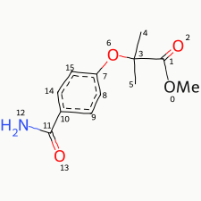 COC(=O)C(C)(C)Oc1ccc(C(N)=O)cc1